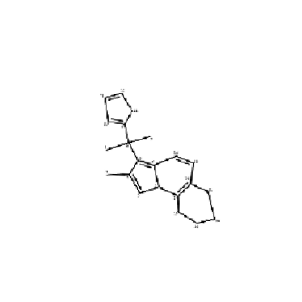 CC1=CC2C(=C1C(C)(C)C1=CC=CC1)C=CC1=C2CCCC1